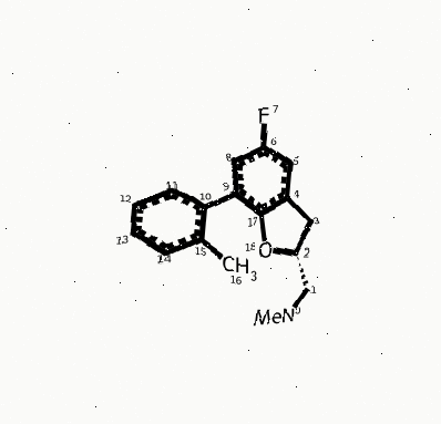 CNC[C@H]1Cc2cc(F)cc(-c3ccccc3C)c2O1